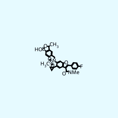 CNC(=O)c1c(-c2ccc(F)cc2)oc2cc(N(Cc3ccc4c(c3)C(C)OB4O)S(C)(=O)=O)c(C3CC3)cc12